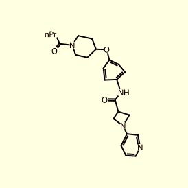 CCCC(=O)N1CCC(Oc2ccc(NC(=O)C3CN(c4cccnc4)C3)cc2)CC1